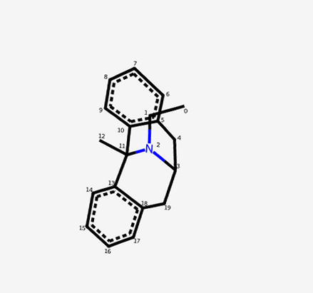 CCN1C2Cc3ccccc3C1(C)c1ccccc1C2